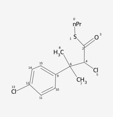 CCCSC(=O)C(Cl)C(C)(C)c1ccc(Cl)cc1